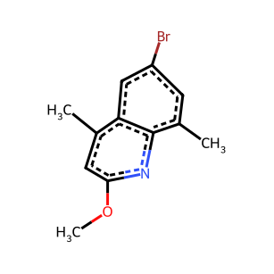 COc1cc(C)c2cc(Br)cc(C)c2n1